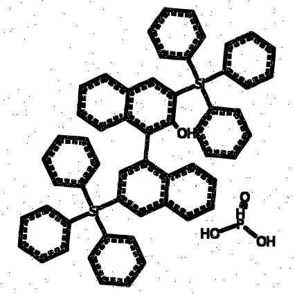 O=[PH](O)O.Oc1c([Si](c2ccccc2)(c2ccccc2)c2ccccc2)cc2ccccc2c1-c1cc([Si](c2ccccc2)(c2ccccc2)c2ccccc2)cc2ccccc12